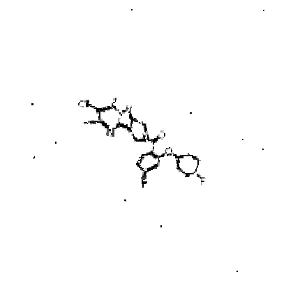 Cc1nc2c3c(nn2c(C)c1Cl)CN(C(=O)c1ccc(F)cc1OC1CCC(F)CC1)C3